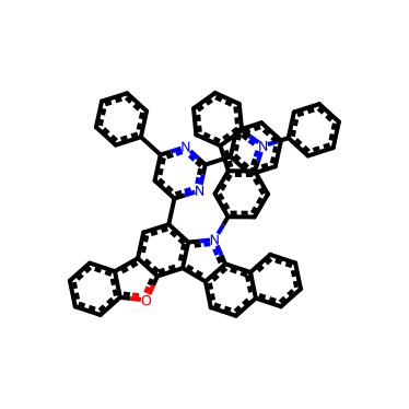 c1ccc(-c2cc(-c3cc4c5ccccc5oc4c4c5ccc6ccccc6c5n(-c5ccc6c(c5)c5ccccc5n6-c5ccccc5)c34)nc(-c3ccccc3)n2)cc1